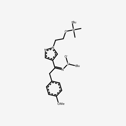 COc1ccc(CC(=N[S+]([O-])C(C)(C)C)c2cnn(CCO[Si](C)(C)C(C)(C)C)c2)cc1